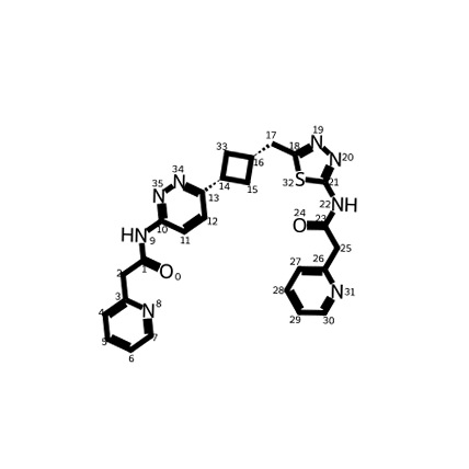 O=C(Cc1ccccn1)Nc1ccc([C@H]2C[C@@H](Cc3nnc(NC(=O)Cc4ccccn4)s3)C2)nn1